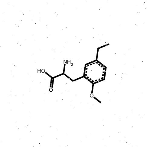 CCc1ccc(OC)c(CC(N)C(=O)O)c1